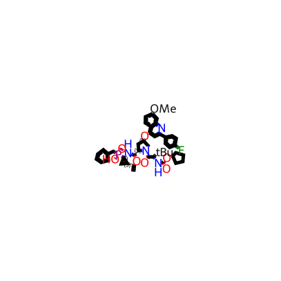 C=C[C@@H]1C[C@]1(NC(=O)[C@@H]1C[C@@H](Oc2cc(-c3ccc(F)cc3)nc3cc(OC)ccc23)CN1C(=O)C(NC(=O)OC1CCCC1)C(C)(C)C)P(=O)(O)Cc1ccccc1